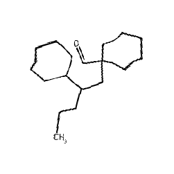 CCCC(CC1(C=O)CCCCC1)C1CCCCC1